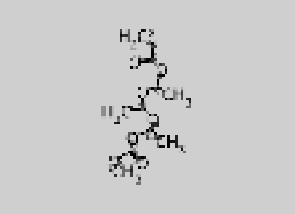 C=CC(=O)OC(C)OC(C)OC(C)OC(=O)C=C